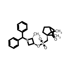 C[C@@H]1[C@@H](OS(=O)(=O)C[C@]23CCC(CC2=O)C3(C)C)CN1C(c1ccccc1)c1ccccc1